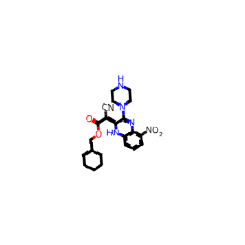 N#CC(C(=O)OCC1CCCCC1)=C1Nc2cccc([N+](=O)[O-])c2N=C1N1CCNCC1